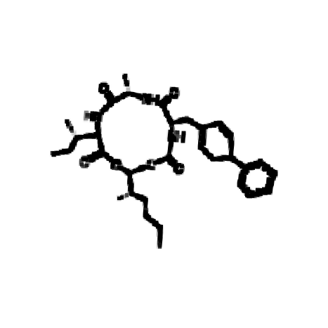 CCCC[C@H](C)[C@@H]1CC(=O)N[C@H](CC2=CCC(c3ccccc3)C=C2)C(=O)N[C@@H](C)C(=O)N[C@H]([C@@H](C)CC)C(=O)O1